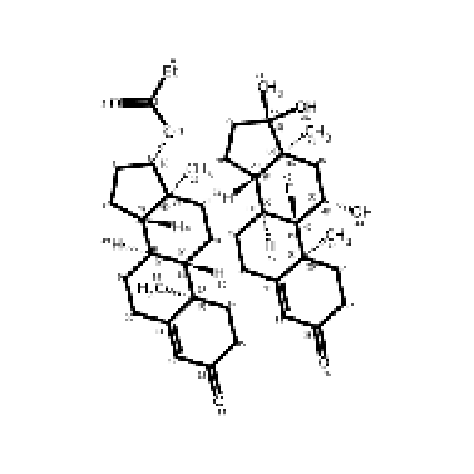 CCC(=O)O[C@H]1CC[C@H]2[C@@H]3CCC4=CC(=O)CC[C@]4(C)[C@H]3CC[C@]12C.C[C@]1(O)CC[C@H]2[C@@H]3CCC4=CC(=O)CC[C@]4(C)[C@@]3(F)[C@@H](O)C[C@@]21C